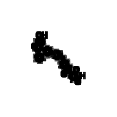 O=C1CCC(N2Cc3cc(CN4CCN(c5ccc([C@H]6c7ccc(O)cc7OC[C@H]6c6ccccc6)cc5)CC4)ccc3C2=O)C(=O)N1